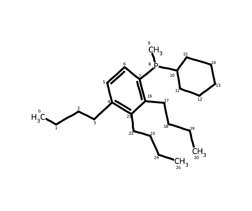 CCCCc1ccc(P(C)C2CCCCC2)c(CCCC)c1CCCC